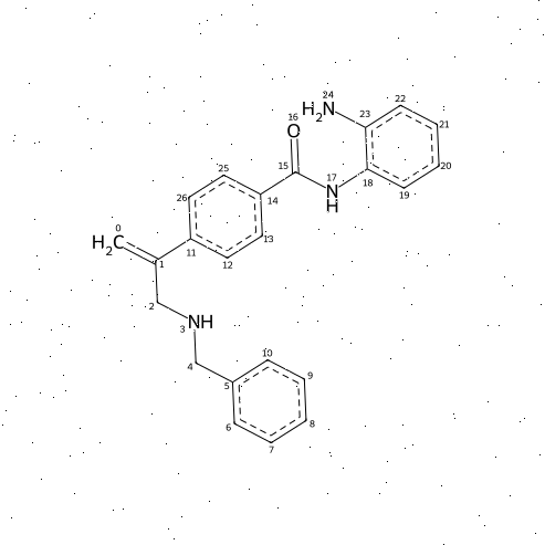 C=C(CNCc1ccccc1)c1ccc(C(=O)Nc2ccccc2N)cc1